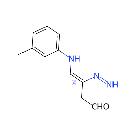 Cc1cccc(N/C=C(/CC=O)N=N)c1